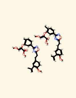 C=C(C)c1cc(CCc2nc(-c3ccc(C)c(O/C(=C\OC)C(=O)OC)c3)no2)ccc1OC.C=C(C)c1cc(CCc2nc(-c3ccc(C)c(O/C(=C\OC)C(=O)OC)c3)no2)ccc1OC